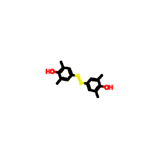 Cc1cc(SSc2cc(C)c(O)c(C)c2)cc(C)c1O